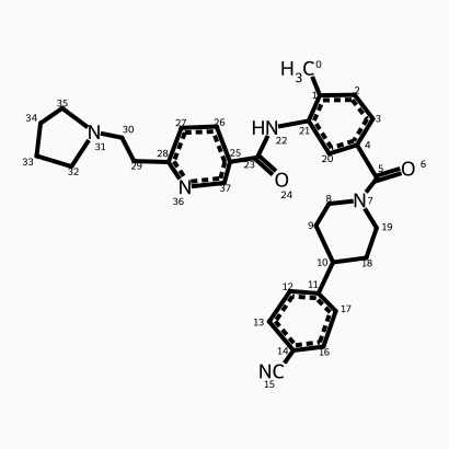 Cc1ccc(C(=O)N2CCC(c3ccc(C#N)cc3)CC2)cc1NC(=O)c1ccc(CCN2CCCC2)nc1